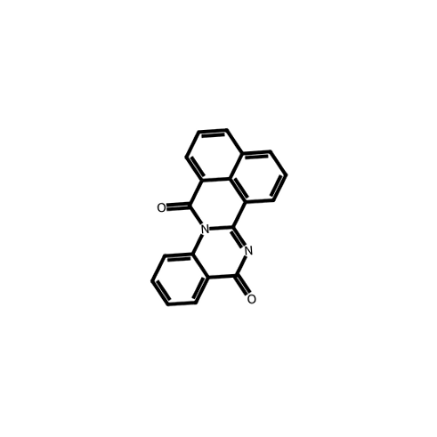 O=c1nc2c3cccc4cccc(c(=O)n2c2ccccc12)c43